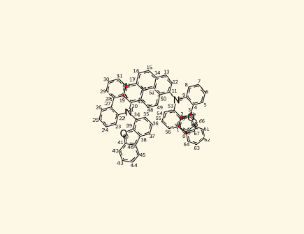 c1ccc(-c2ccccc2N(c2ccc3ccc4ccc(N(c5ccccc5-c5ccccc5)c5cccc6c5oc5ccccc56)c5ccc2c3c45)c2cccc3c2oc2ccccc23)cc1